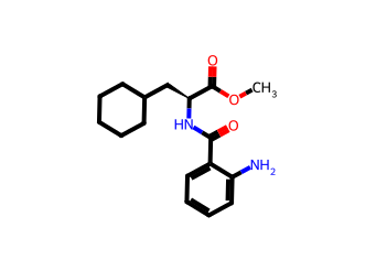 COC(=O)[C@H](CC1CCCCC1)NC(=O)c1ccccc1N